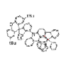 CC(C)(C)c1ccc2c(c1)C1(c3cc(C(C)(C)C)ccc3O2)c2ccccc2-c2c(N(c3ccc4c(c3)C(c3ccccc3)(c3ccccc3)c3ccccc3-4)c3ccccc3-c3cccc4ccccc34)cccc21